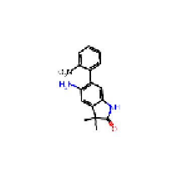 CC1(C)C(=O)Nc2cc(-c3ccccc3[N+](=O)[O-])c(N)cc21